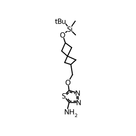 CC(C)(C)[Si](C)(C)OC1CC2(CC(COc3nnc(N)s3)C2)C1